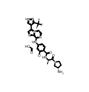 C[C@@H](NC(=O)c1ccc(Nc2nccn3c(-c4c[nH]nc4C(F)(F)F)cnc23)cc1Cl)C(=O)N1CC[C@H](N)C1.O=CO